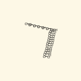 CCO.ClCCl.ClCCl.ClCCl.ClCCl.ClCCl.ClCCl.ClCCl.ClCCl.ClCCl.ClCCl.ClCCl.ClCCl.ClCCl.ClCCl.ClCCl.ClCCl.ClCCl.ClCCl.ClCCl